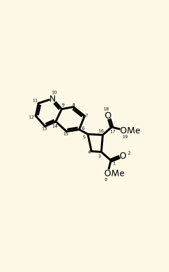 COC(=O)C1CC(c2ccc3ncccc3c2)C1C(=O)OC